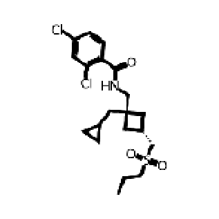 CCCS(=O)(=O)C[C@H]1C[C@@](CNC(=O)c2ccc(Cl)cc2Cl)(CC2CC2)C1